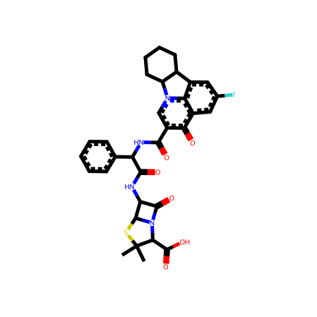 CC1(C)SC2C(NC(=O)C(NC(=O)c3cn4c5c(cc(F)cc5c3=O)C3CCCCC34)c3ccccc3)C(=O)N2C1C(=O)O